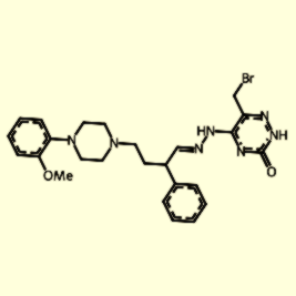 COc1ccccc1N1CCN(CCC(/C=N/Nc2nc(=O)[nH]nc2CBr)c2ccccc2)CC1